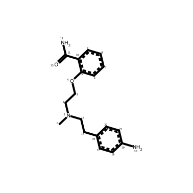 CN(CCOc1ccccc1C(N)=O)CCc1ccc(N)cc1